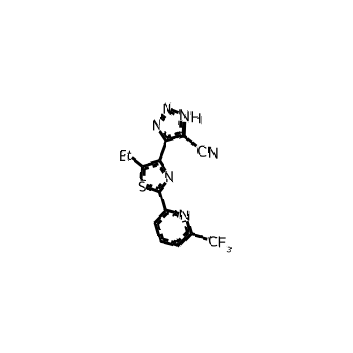 CCc1sc(-c2cccc(C(F)(F)F)n2)nc1-c1nn[nH]c1C#N